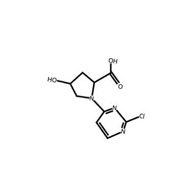 O=C(O)C1CC(O)CN1c1ccnc(Cl)n1